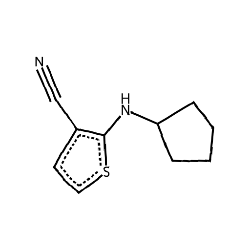 N#Cc1ccsc1NC1CCCC1